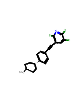 CCCC[C@H]1CC[C@H](c2ccc(C#Cc3cc(F)c(F)nc3F)cc2)CC1